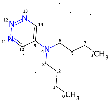 CCCCN(CCCC)c1[c]nnnc1